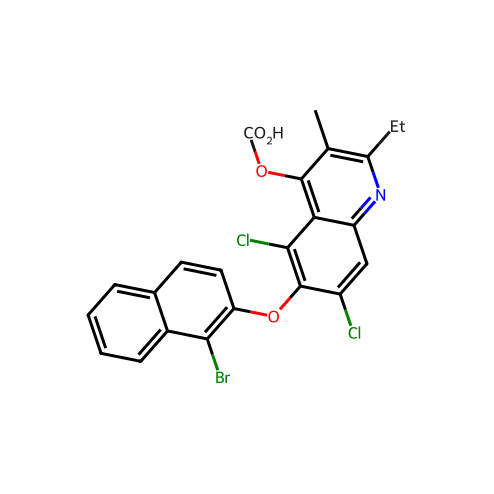 CCc1nc2cc(Cl)c(Oc3ccc4ccccc4c3Br)c(Cl)c2c(OC(=O)O)c1C